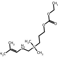 CCOC(=O)OCCC[Si](C)(C)C[SiH2]C=C(C)C